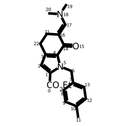 CCOC(=O)c1cc2c(n1Cc1ccc(C)cc1)C(=O)C(=CN(C)C)CC2